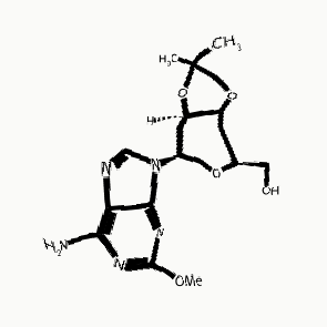 COc1nc(N)c2ncn([C@@H]3O[C@H](CO)C4OC(C)(C)O[C@@H]43)c2n1